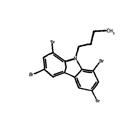 CCCCn1c2c(Br)cc(Br)cc2c2cc(Br)cc(Br)c21